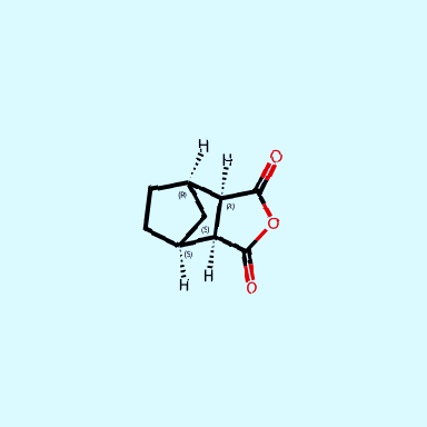 O=C1OC(=O)[C@H]2[C@H]3CC[C@H](C3)[C@@H]12